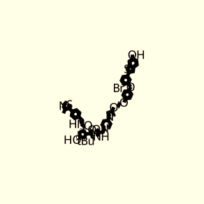 Cc1ncsc1-c1ccc(CNC(=O)[C@@H]2C[C@@H](O)CC2C(=O)C(NC(=O)CN2CCC(N3CC(OCCOc4ccc(Oc5cc(-c6cc7ccc(O)cc7s6)ccc5Br)cc4)C3)CC2)C(C)(C)C)cc1